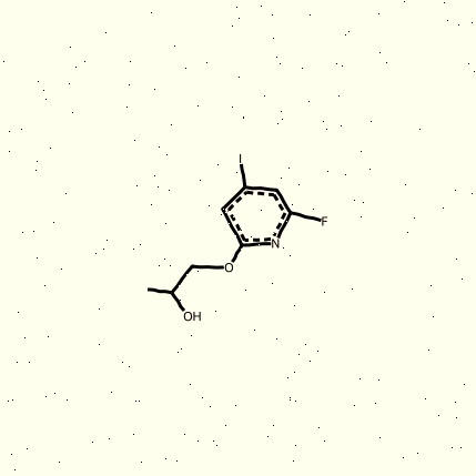 CC(O)COc1cc(I)cc(F)n1